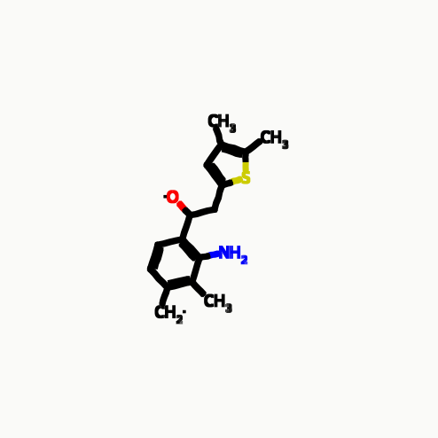 [CH2]c1ccc(C([O])Cc2cc(C)c(C)s2)c(N)c1C